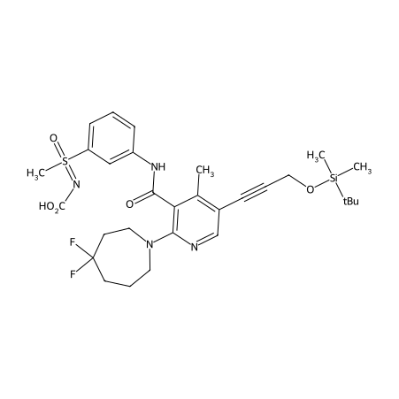 Cc1c(C#CCO[Si](C)(C)C(C)(C)C)cnc(N2CCCC(F)(F)CC2)c1C(=O)Nc1cccc(S(C)(=O)=NC(=O)O)c1